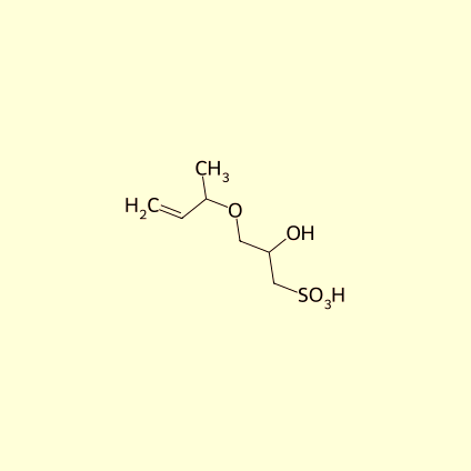 C=CC(C)OCC(O)CS(=O)(=O)O